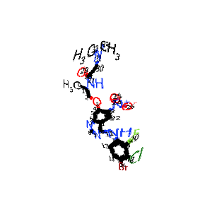 CC(COc1cc2ncnc(Nc3ccc(Br)c(Cl)c3F)c2cc1[N+](=O)[O-])NC(=O)CN(C)C